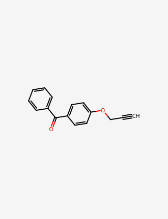 C#CCOc1ccc(C(=O)c2ccccc2)cc1